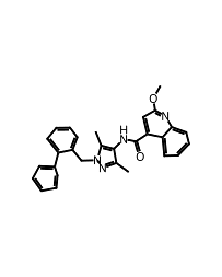 COc1cc(C(=O)Nc2c(C)nn(Cc3ccccc3-c3ccccc3)c2C)c2ccccc2n1